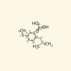 CSc1ccc(CC(C)C)cc1.O=C(O)O